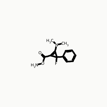 CN(C)C1=C(C(=O)ON)C1(F)c1ccccc1